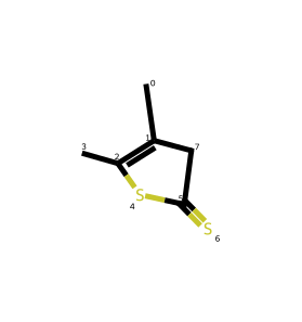 CC1=C(C)SC(=S)C1